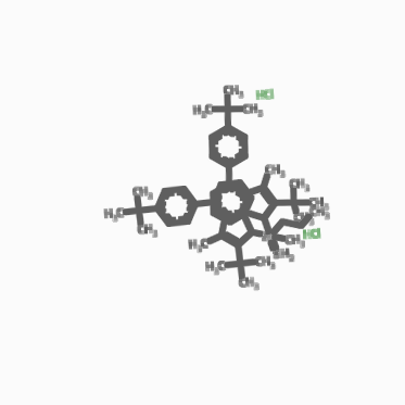 CC[CH2][Zr]([CH3])(=[SiH2])([CH]1C(C(C)(C)C)=C(C)c2c(-c3ccc(C(C)(C)C)cc3)cccc21)[CH]1C(C(C)(C)C)=C(C)c2c(-c3ccc(C(C)(C)C)cc3)cccc21.Cl.Cl